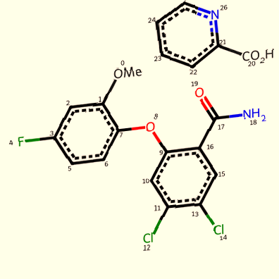 COc1cc(F)ccc1Oc1cc(Cl)c(Cl)cc1C(N)=O.O=C(O)c1ccccn1